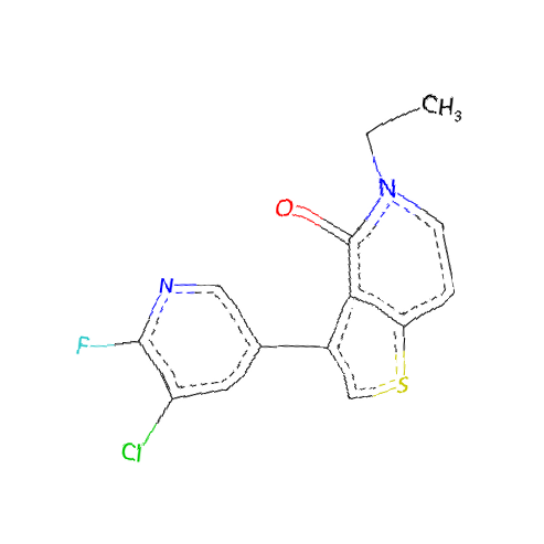 CCn1ccc2scc(-c3cnc(F)c(Cl)c3)c2c1=O